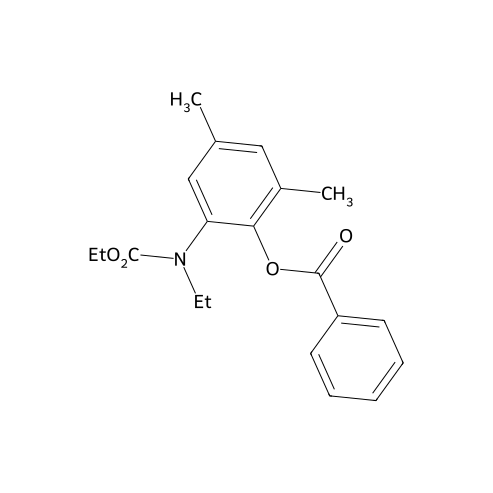 CCOC(=O)N(CC)c1cc(C)cc(C)c1OC(=O)c1ccccc1